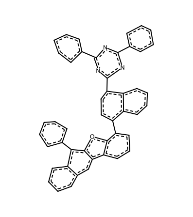 c1ccc(-c2nc(-c3ccccc3)nc(-c3ccc(-c4cccc5c4oc4c(-c6ccccc6)c6ccccc6cc45)c4ccccc34)n2)cc1